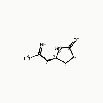 CCCC(=N)C[C@@H]1CCC(=O)N1